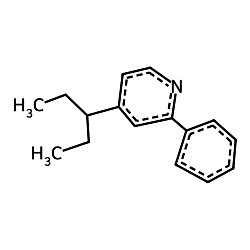 CCC(CC)c1ccnc(-c2ccccc2)c1